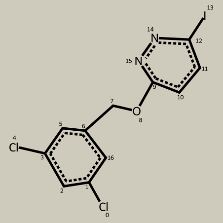 Clc1cc(Cl)cc(COc2ccc(I)nn2)c1